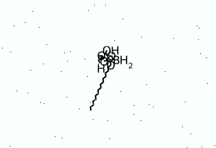 BC1OC(CO)C(O[PH](C)=O)C1OCCCCCCCCCCCCCCCC